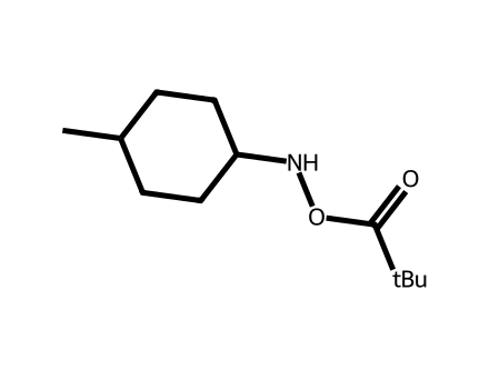 CC1CCC(NOC(=O)C(C)(C)C)CC1